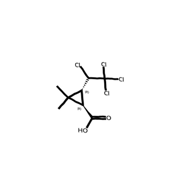 CC1(C)[C@H](C(=O)O)[C@H]1C(Cl)C(Cl)(Cl)Cl